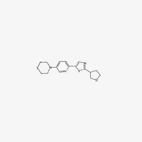 c1cc(N2CCSCC2)ccc1-c1cnc(C2CCOC2)s1